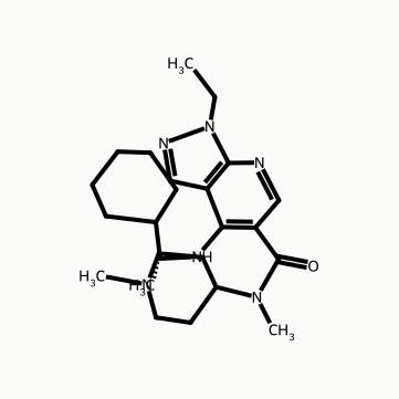 CCn1ncc2c(N[C@H](C)C3CCCCC3)c(C(=O)N(C)C3CCN(C)CC3)cnc21